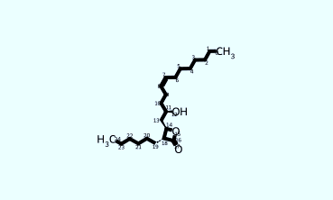 CCCCCCC/C=C\CC[C@@H](O)C[C@H]1OC(=O)[C@@H]1CCCCCC